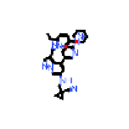 CCc1ccc(CN2C3CC2CN(c2ccc(-c4cc(NCC5(C#N)CC5)cn5ncc(C#N)c45)cn2)C3)cn1